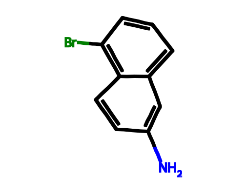 Nc1ccc2c(Br)cccc2c1